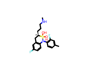 CNCCC[C@@H]1Cc2cc(F)ccc2N(c2ccc(C)cc2F)S1(O)O